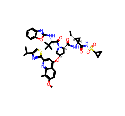 CC[C@@H]1C[C@]1(NC(=O)[C@@H]1C[C@@H](Oc2cc(-c3nc(C(C)C)cs3)nc3c(C)c(OC)ccc23)CN1C(=O)[C@@H](Nc1nc2ccccc2o1)C(C)(C)C)C(=O)NS(=O)(=O)C1CC1